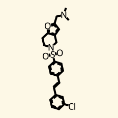 CN(C)Cc1cc2c(o1)CCN(S(=O)(=O)c1ccc(C=Cc3cccc(Cl)c3)cc1)C2